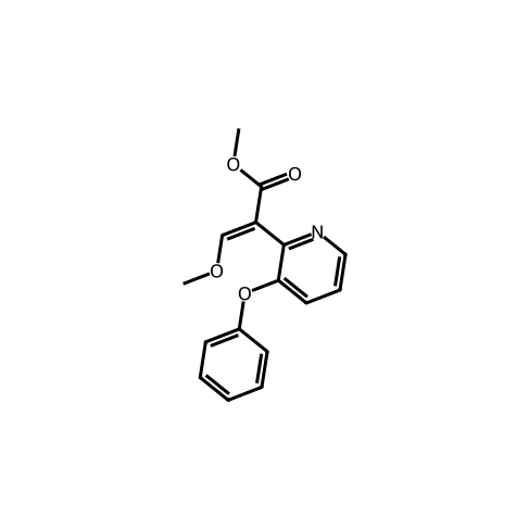 CO/C=C(/C(=O)OC)c1ncccc1Oc1ccccc1